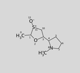 CC1OC(C2CCCN2C)C[S+]1[O-]